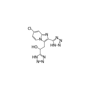 OC(Cc1c(-c2nnn[nH]2)nc2cc(Cl)ccn12)c1nnn[nH]1